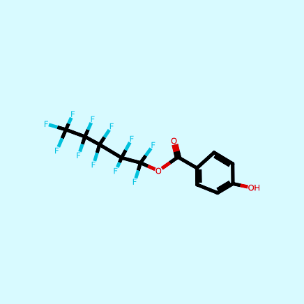 O=C(OC(F)(F)C(F)(F)C(F)(F)C(F)(F)C(F)(F)F)c1ccc(O)cc1